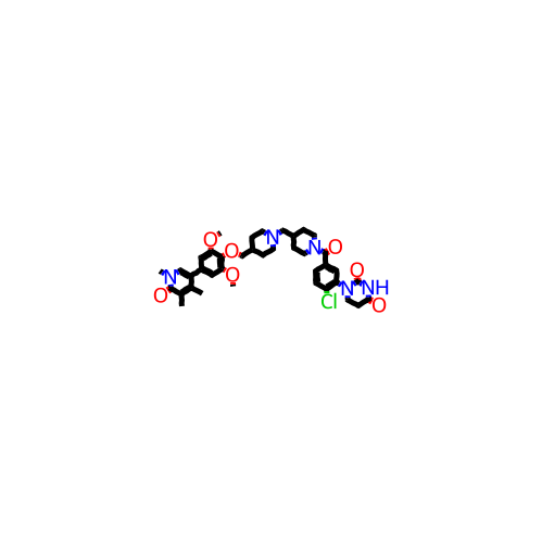 COc1cc(-c2cn(C)c(=O)c(C)c2C)cc(OC)c1OCC1CCN(CC2CCN(C(=O)c3ccc(Cl)c(N4CCC(=O)NC4=O)c3)CC2)CC1